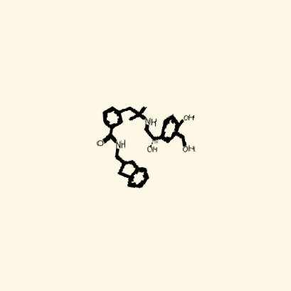 CC(C)(Cc1cccc(C(=O)NCC2Cc3ccccc3C2)c1)NC[C@@H](O)c1ccc(O)c(CO)c1